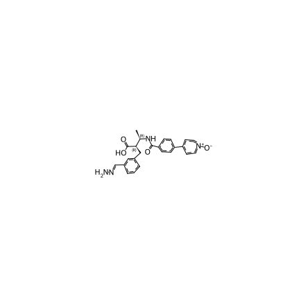 C[C@@H](NC(=O)c1ccc(-c2cc[n+]([O-])cc2)cc1)[C@@H](Cc1cccc(C=NN)c1)C(=O)O